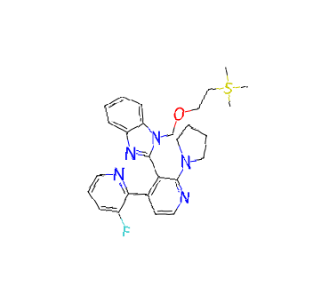 CS(C)(C)CCOCn1c(-c2c(-c3ncccc3F)ccnc2N2CCCC2)nc2ccccc21